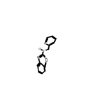 [O-][S+](Cc1ccccn1)c1nc2ccccc2o1